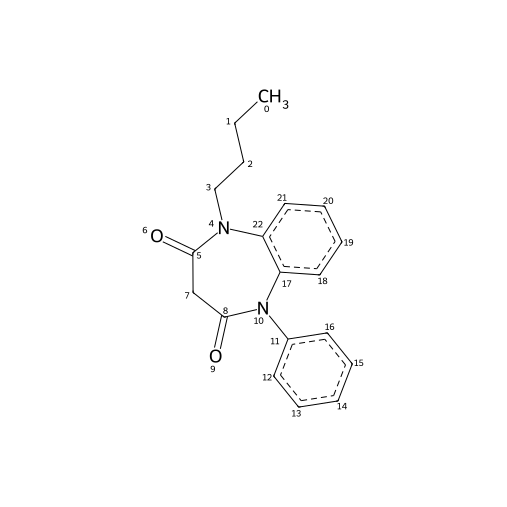 CCCCN1C(=O)CC(=O)N(c2ccccc2)c2ccccc21